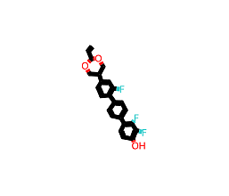 C=CC1OCC(c2ccc(-c3ccc(-c4ccc(O)c(F)c4F)cc3)c(F)c2)CO1